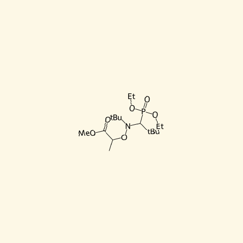 CCOP(=O)(OCC)C(N(OC(C)C(=O)OC)C(C)(C)C)C(C)(C)C